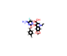 CCn1cc(C(=O)O)c(=O)c2cc3c(cc21)OCO3.Cc1ccc(COc2ncc(F)c(N)n2)cc1